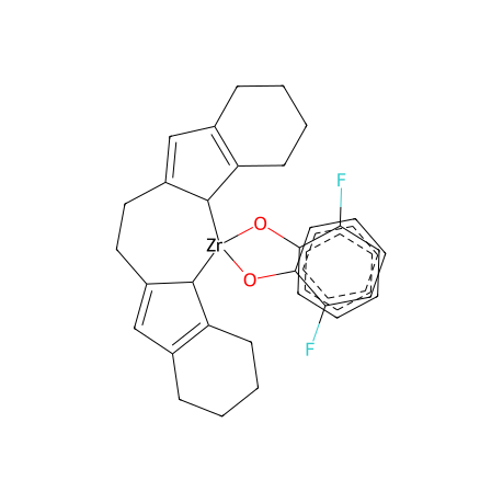 Fc1ccccc1[O][Zr]1([O]c2ccccc2F)[CH]2C(=CC3=C2CCCC3)CCC2=CC3=C(CCCC3)[CH]21